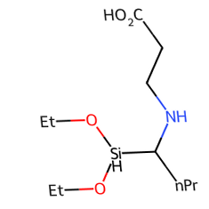 CCCC(NCCC(=O)O)[SiH](OCC)OCC